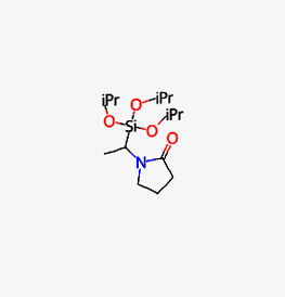 CC(C)O[Si](OC(C)C)(OC(C)C)C(C)N1CCCC1=O